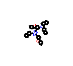 c1ccc2cc(-c3nc(-c4ccc5c(c4)oc4ccccc45)nc(-c4cc(-n5c6cc7ccccc7cc6c6c7ccccc7ccc65)cc5oc6ccccc6c45)n3)ccc2c1